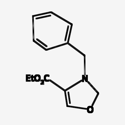 CCOC(=O)C1=COCN1Cc1ccccc1